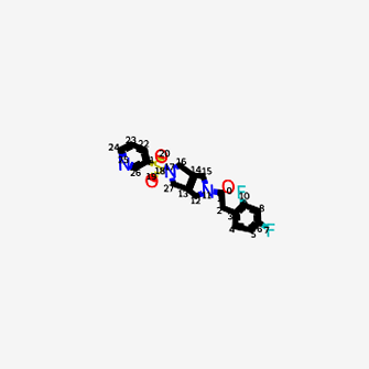 O=C(Cc1ccc(F)cc1F)N1CC2=C(C1)CN(S(=O)(=O)c1cccnc1)C2